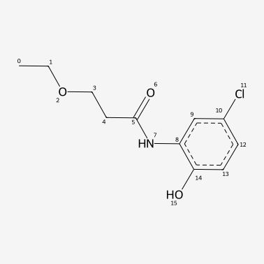 CCOCCC(=O)Nc1cc(Cl)ccc1O